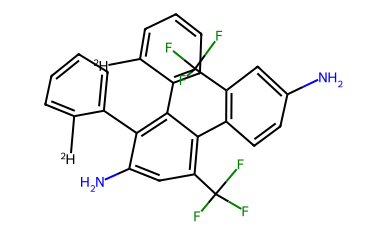 [2H]c1ccccc1-c1c(N)cc(C(F)(F)F)c(-c2ccc(N)cc2C(F)(F)F)c1-c1ccccc1[2H]